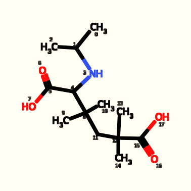 CC(C)NC(C(=O)O)C(C)(C)CC(C)(C)C(=O)O